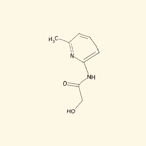 Cc1cccc(NC(=O)CO)n1